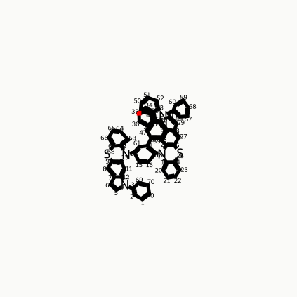 c1ccc(-n2ccc3cc4c(cc32)N(c2ccc(N3c5ccccc5Sc5cc6ccn(-c7ccccc7)c6cc53)c(-c3ccc5c(c3)c3ccccc3n5-c3ccccc3)c2)c2ccccc2S4)cc1